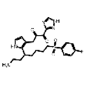 CCCC(CCCCS(=O)(=O)c1ccc(F)cc1)c1[nH]ccc1CC(=O)C(=O)c1nc[nH]n1